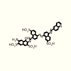 Nc1cc2c(O)c(/N=N/c3ccc(/N=N/c4ccc(/N=N/c5ccc6ncccc6c5)c5ccc(S(=O)(=O)O)cc45)c4ccc(S(=O)(=O)O)cc34)c(S(=O)(=O)O)cc2cc1S(=O)(=O)O